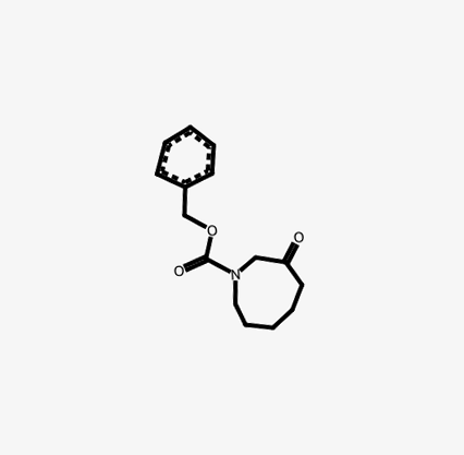 O=C1CCCCCN(C(=O)OCc2ccccc2)C1